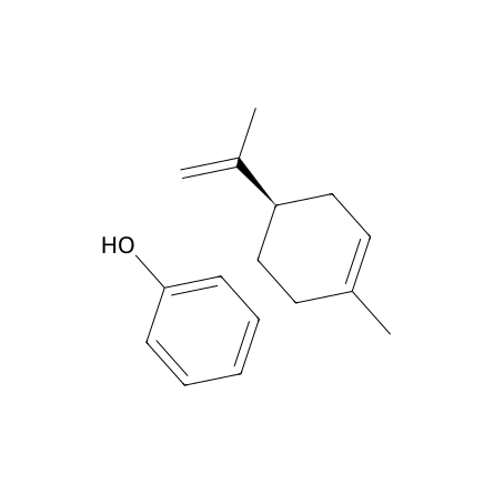 C=C(C)[C@H]1CC=C(C)CC1.Oc1ccccc1